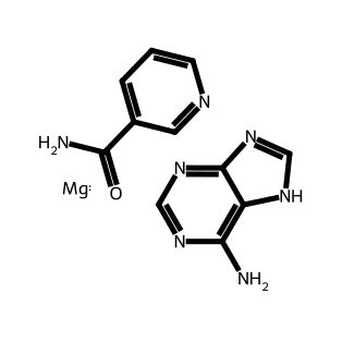 NC(=O)c1cccnc1.Nc1ncnc2nc[nH]c12.[Mg]